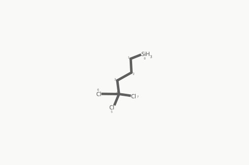 [SiH3]CCCC(Cl)(Cl)Cl